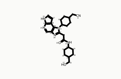 N#CCC1CCC(n2c(CC(=O)NC3CCC(CO)CC3)nc3cnc4[nH]ccc4c32)CC1